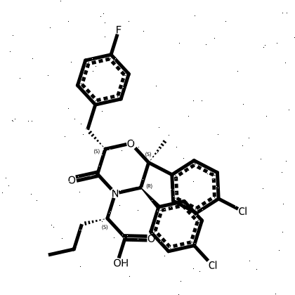 CCC[C@@H](C(=O)O)N1C(=O)[C@H](Cc2ccc(F)cc2)O[C@@](C)(c2ccc(Cl)cc2)[C@H]1c1ccc(Cl)cc1